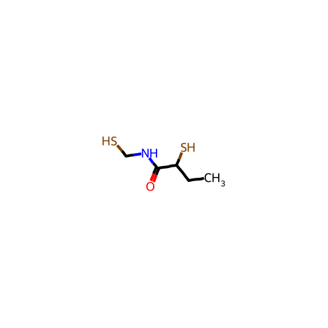 CCC(S)C(=O)NCS